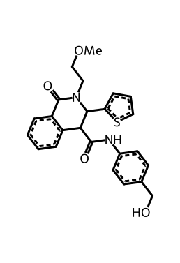 COCCN1C(=O)c2ccccc2C(C(=O)Nc2ccc(CO)cc2)C1c1cccs1